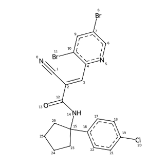 N#CC(=Cc1ncc(Br)cc1Br)C(=O)NC1(c2ccc(Cl)cc2)CCCC1